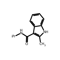 Cc1[nH]c2ccccc2c1C(=O)NC(C)C